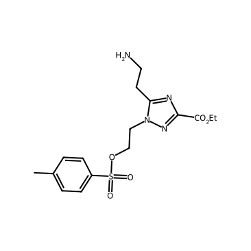 CCOC(=O)c1nc(CCN)n(CCOS(=O)(=O)c2ccc(C)cc2)n1